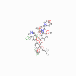 COc1ccc(C(=O)O[C@@H](Cc2c(Cl)cncc2Cl)c2ccc(OC(F)F)c(OCC3CC3)c2)cc1N(CCN1CCOCC1)S(C)(=O)=O